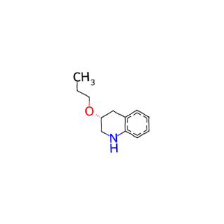 CCCO[C@H]1CNc2ccccc2C1